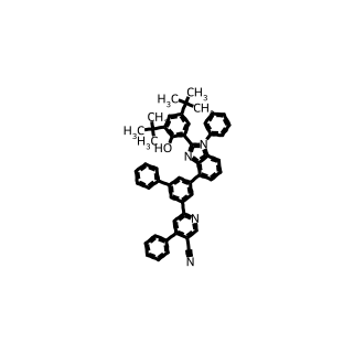 CC(C)(C)c1cc(-c2nc3c(-c4cc(-c5ccccc5)cc(-c5cc(-c6ccccc6)c(C#N)cn5)c4)cccc3n2-c2ccccc2)c(O)c(C(C)(C)C)c1